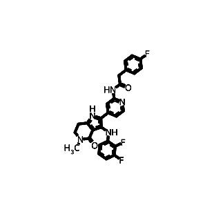 CN1CCc2[nH]c(-c3ccnc(NC(=O)Cc4ccc(F)cc4)c3)c(Nc3cccc(F)c3F)c2C1=O